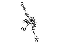 C=CC(=O)OCCCCCCN(/N=C/c1cc(OC(F)(F)c2ccc(-c3ccc(OCCCCCOCC4CCC5OC5C4)cc3)c(F)c2F)c2ccccc2c1OC(=O)c1ccc(OCCCCCCOCC2(CC)COC2)c(C)c1)c1nc2ccc3ccccc3c2s1